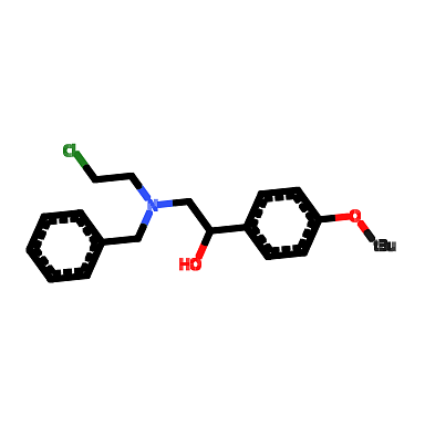 CC(C)(C)Oc1ccc(C(O)CN(CCCl)Cc2ccccc2)cc1